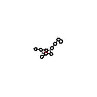 c1ccc(-c2ccc(-c3ccc(N(c4ccc(-c5ccc(-c6cccc7ccccc67)cc5)cc4)c4ccccc4-c4ccc5sc6ccccc6c5c4)cc3)cc2)cc1